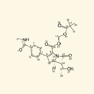 CNC(=O)c1ccc(C2=C(C(=O)OCOC(=O)C(C)(C)C)N3C(=O)[C@H]([C@@H](C)O)[C@H]3C2)cc1